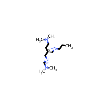 CCCNC[C@H](CCN(C)C)C/N=C/N(C)C